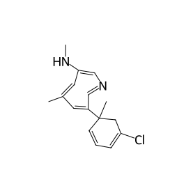 CNC1=C/N=C/C(C2(C)C=CC=C(Cl)C2)=C\C(C)=C\1